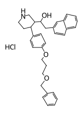 Cl.OC(Cc1ccc2ccccc2c1)C1CNCCC1c1ccc(OCCCOCc2ccccc2)cc1